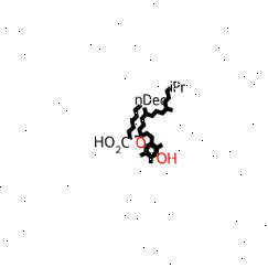 CCCCCCCCCCCCCCCCCC(=O)O.Cc1c(C)c2c(c(C)c1O)CC[C@@](C)(CCCC(C)CCCC(C)CCCC(C)C)O2